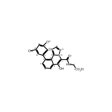 CCOC(=O)CNC(=O)c1c(O)c2cccc(-c3cc(Cl)cc(Cl)c3)c2c2ncnn12